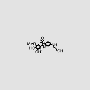 COc1cc(-c2nc3cc(NCCCO)ccc3n2C2(C)COC2)c(F)c(O)c1O